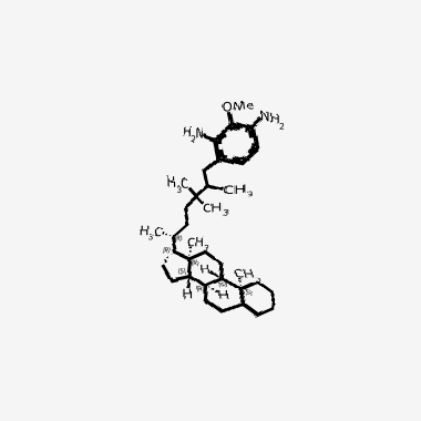 COc1c(N)ccc(CC(C)C(C)(C)CC[C@@H](C)[C@H]2CC[C@H]3[C@@H]4CCC5CCCC[C@]5(C)[C@H]4CC[C@]23C)c1N